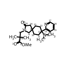 COC(=O)C(C)(C)CN1CC2(CCC(c3ccccn3)(N(C)C)CC2)CC1=O